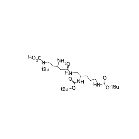 CC(C)(C)OC(=O)NCCC[C@@H](CNC(=O)CC(N)CCN(C(=O)O)C(C)(C)C)NC(=O)OC(C)(C)C